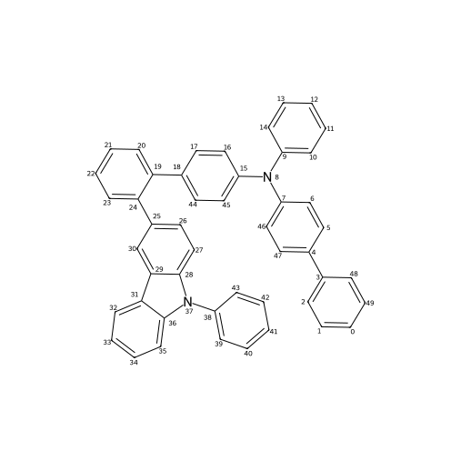 c1ccc(-c2ccc(N(c3ccccc3)c3ccc(-c4ccccc4-c4ccc5c(c4)c4ccccc4n5-c4ccccc4)cc3)cc2)cc1